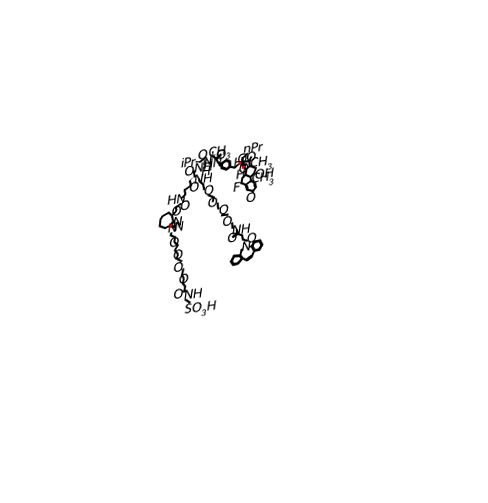 CCCC1O[C@@H]2CC3[C@@H]4C[C@H](F)C5=CC(=O)C=C[C@]5(C)C4[C@@H](O)C[C@]3(C)[C@]2(C(=O)CCc2ccc(NC(=O)[C@H](C)NC(=O)[C@@H](NC(=O)[C@@H](CCCCNC(=O)COC3CCCCCc4c3nnn4CCOCCOCCOCCOCCC(=O)NCCS(=O)(=O)O)NC(=O)CCOCCOCCOCCOCCNC(=O)CCC(=O)N3Cc4ccccc4C#Cc4ccccc43)C(C)C)cc2)O1